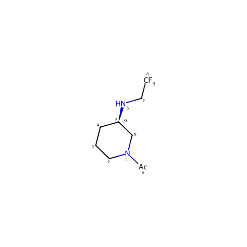 CC(=O)N1CCC[C@@H](NCC(F)(F)F)C1